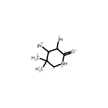 CC(C)C1C(=O)NCC(C)(C)C1C(C)C